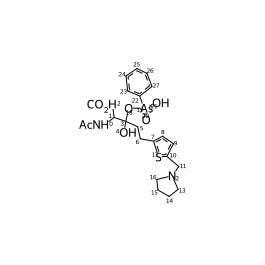 CC(=O)NC(C(=O)O)C(O)(CCc1ccc(CN2CCCC2)s1)O[As](=O)(O)c1ccccc1